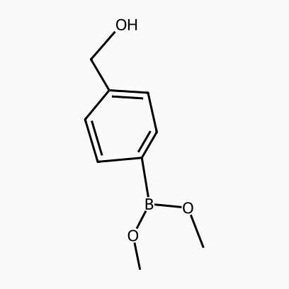 COB(OC)c1ccc(CO)cc1